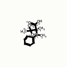 CN(c1ccccc1)[C@](C)(C(=O)O)C(C)(C)C